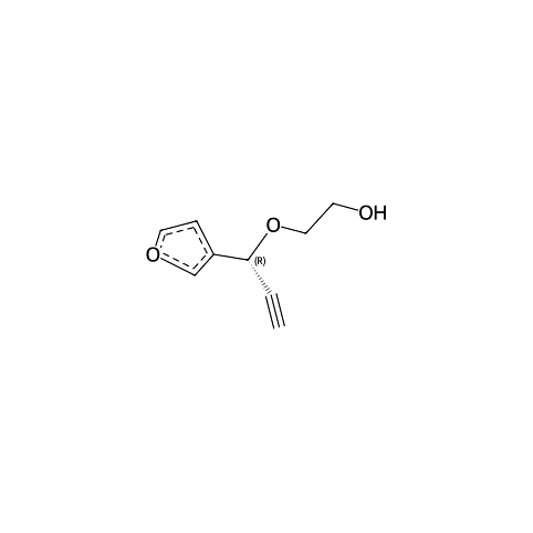 C#C[C@@H](OCCO)c1ccoc1